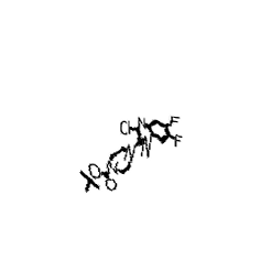 CC(C)(C)OC(=O)N1CCN(c2nc3cc(F)c(F)cc3nc2Cl)CC1